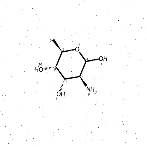 C[C@H]1OC(O)[C@@H](N)[C@H](O)[C@@H]1O